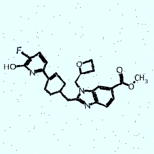 COC(=O)c1ccc2nc(CC3CC=C(c4ccc(F)c(O)n4)CC3)n(C[C@@H]3CCO3)c2c1